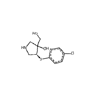 OCC1(O)CNC[C@@H]1Sc1ccc(Cl)cn1